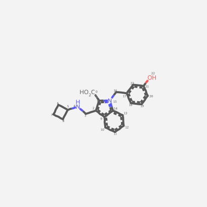 O=C(O)c1c(CNC2CCC2)c2ccccc2n1Cc1cccc(O)c1